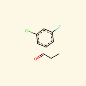 CCC=O.Fc1cccc(Cl)c1